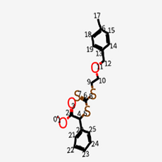 COC(=O)C(SC(=S)SCCOCc1ccc(C)cc1)c1ccccc1